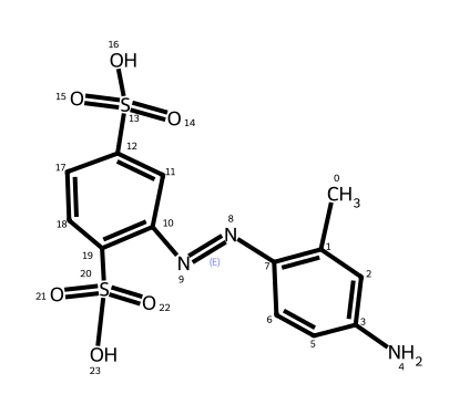 Cc1cc(N)ccc1/N=N/c1cc(S(=O)(=O)O)ccc1S(=O)(=O)O